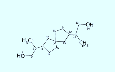 CC(CO)C1CCC2(CCC(C(C)CO)C2)C1